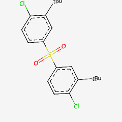 CC(C)(C)c1cc(S(=O)(=O)c2ccc(Cl)c(C(C)(C)C)c2)ccc1Cl